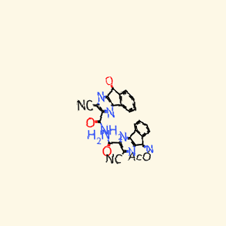 CC(=O)ON=C1c2ccccc2-c2nc(C(N)=O)c(C#N)nc21.N#Cc1nc2c(nc1C(N)=O)-c1ccccc1C2=O